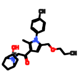 Cc1c(C(=O)CN2C3CCC2[C@H](O)C3)cc(COCCC#N)n1-c1ccc(C#N)cc1